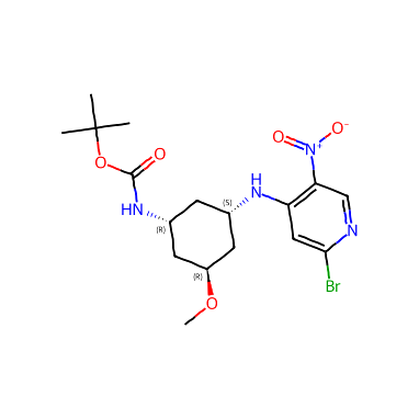 CO[C@H]1C[C@H](NC(=O)OC(C)(C)C)C[C@H](Nc2cc(Br)ncc2[N+](=O)[O-])C1